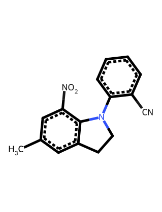 Cc1cc2c(c([N+](=O)[O-])c1)N(c1ccccc1C#N)CC2